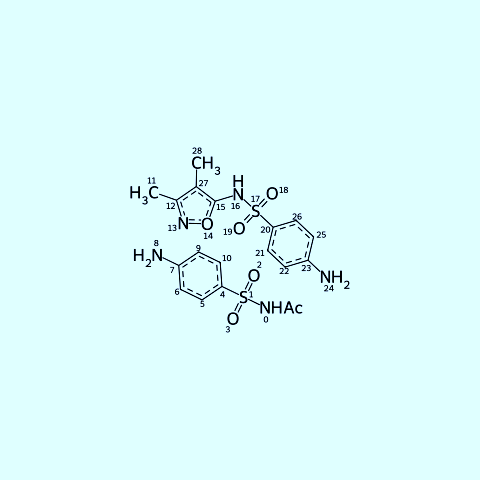 CC(=O)NS(=O)(=O)c1ccc(N)cc1.Cc1noc(NS(=O)(=O)c2ccc(N)cc2)c1C